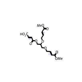 COC(=O)/C=C/COCC(COC(=O)/C=C/C(=O)O)OC/C=C/C(=O)OC